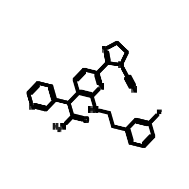 N#CN1CCN=C1c1ccc(C(C(N)=O)c2cccnc2)c(NCCc2cccc(F)c2)n1